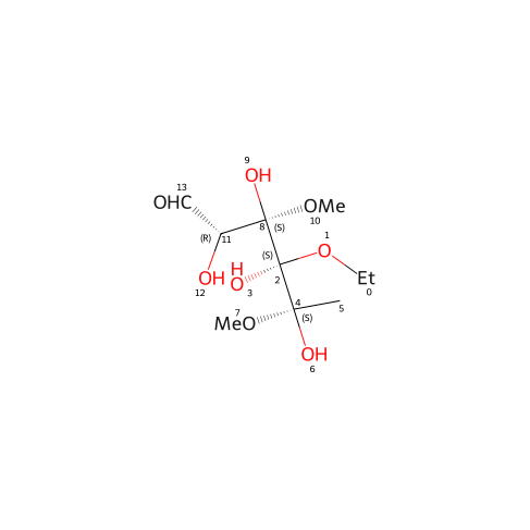 CCO[C@@](O)([C@@](C)(O)OC)[C@@](O)(OC)[C@H](O)C=O